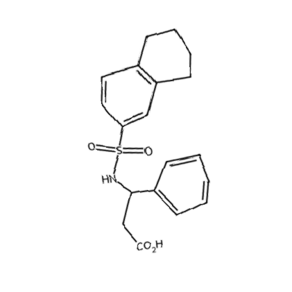 O=C(O)CC(NS(=O)(=O)c1ccc2c(c1)CCCC2)c1ccccc1